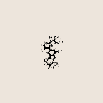 C[C@H](C(=O)O)N1Cc2c(F)cc(-c3nc(N[C@@H](C)CO)ncc3Cl)cc2C1=O